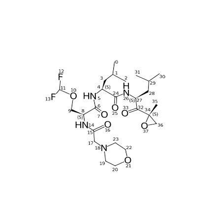 CC(C)C[C@H](NC(=O)[C@H](COC(F)F)NC(=O)CN1CCOCC1)C(=O)N[C@@H](CC(C)C)C(=O)[C@]1(C)CO1